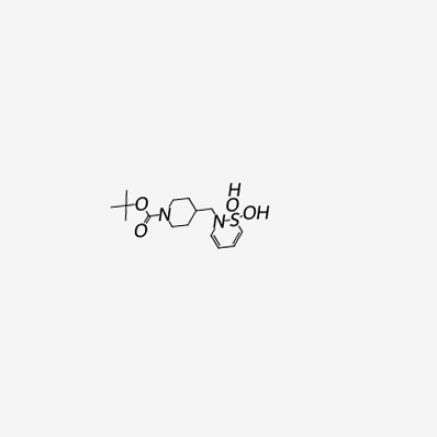 CC(C)(C)OC(=O)N1CCC(CN2C=CC=CS2(O)O)CC1